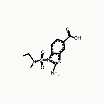 CCN(C)S(=O)(=O)n1c(N)nc2cc(C(=O)O)ccc21